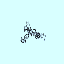 CC(OC(=O)N1CCC[C@H](NS(=O)(=O)N(C)C)[C@@H]1COC1CCN(c2ncccn2)CC1)C(F)(F)F